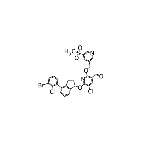 CS(=O)(=O)c1cncc(COc2nc(OC3CCc4c(-c5cccc(Br)c5Cl)cccc43)c(Cl)cc2C=O)c1